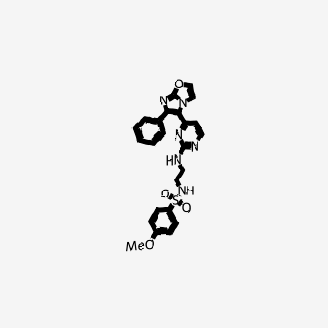 COc1ccc(S(=O)(=O)NCCNc2nccc(-c3c(-c4ccccc4)nc4occn34)n2)cc1